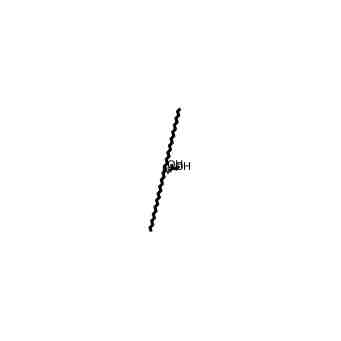 CCCCCCCCCCCCCCCCCCN(CCCCCCCCCCCCCCCCCC)CC(O)CO